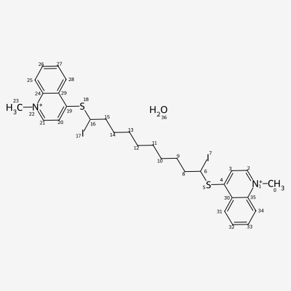 C[n+]1ccc(SC(I)CCCCCCCCC(I)Sc2cc[n+](C)c3ccccc23)c2ccccc21.O